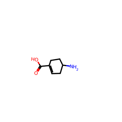 NC1CC=C(C(=O)O)CC1